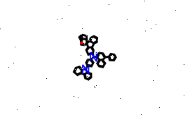 c1ccc(-c2ccc(N(c3ccc(-n4c5ccccc5c5ccccc54)cc3)c3ccc4c(c3)-c3ccccc3C43C4CC5CC(C4)CC3C5)c3ccccc23)cc1